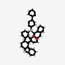 c1ccc(-c2ccc(N(c3cccc4ccccc34)c3cccc4c5ccc6oc7ccccc7c6c5c5ccccc5c34)cc2)cc1